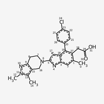 Cc1cc2nc(N3CCc4nn(C)c(C)c4C3)sc2c(-c2ccc(Cl)cc2)c1CC(=O)O